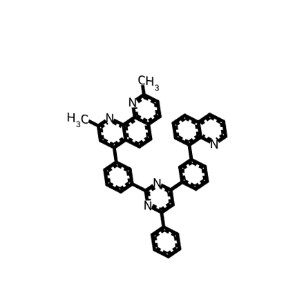 Cc1ccc2ccc3c(-c4cccc(-c5nc(-c6ccccc6)cc(-c6cccc(-c7cccc8cccnc78)c6)n5)c4)cc(C)nc3c2n1